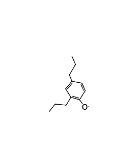 CCCc1ccc([O])c(CCC)c1